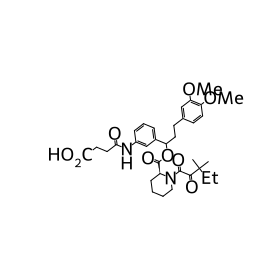 CCC(C)(C)C(=O)C(=O)N1CCCC[C@H]1C(=O)OC(CCc1ccc(OC)c(OC)c1)c1cccc(NC(=O)CCC(=O)O)c1